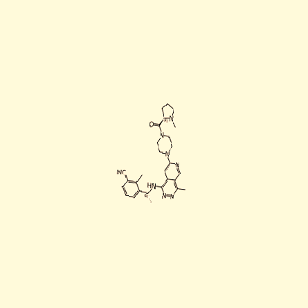 Cc1c(C#N)cccc1[C@@H](C)Nc1nnc(C)c2cnc(N3CCN(C(=O)[C@H]4CCCN4C)CC3)cc12